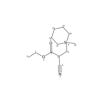 CCOC(=O)C(C#N)C[Si]1(C)CCCCC1